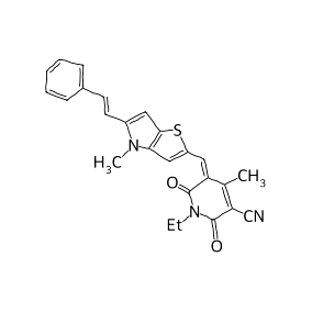 CCN1C(=O)C(C#N)=C(C)/C(=C/c2cc3c(cc(/C=C/c4ccccc4)n3C)s2)C1=O